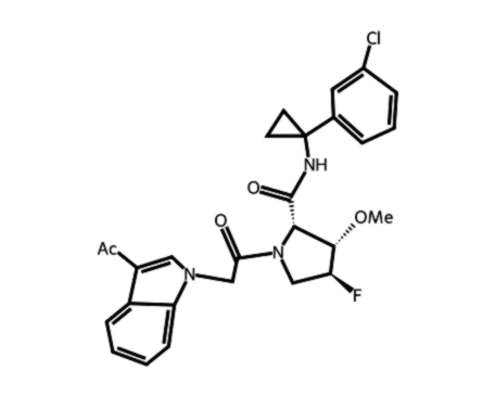 CO[C@H]1[C@@H](C(=O)NC2(c3cccc(Cl)c3)CC2)N(C(=O)Cn2cc(C(C)=O)c3ccccc32)C[C@@H]1F